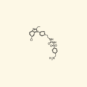 CCc1nc2ccc(Cl)cc2n1-c1ccc(CCNC(=O)NS(=O)(=O)c2ccc(CN)cc2)cc1